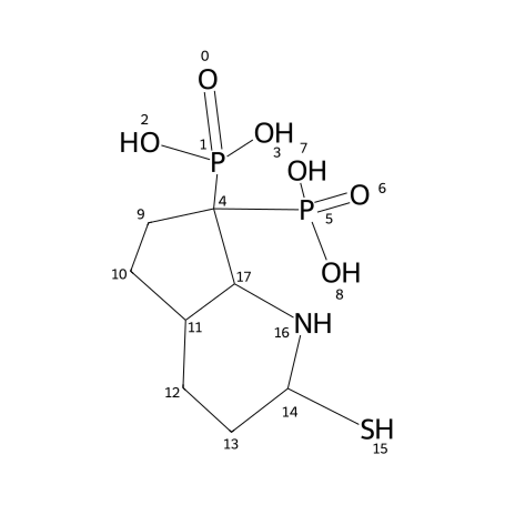 O=P(O)(O)C1(P(=O)(O)O)CCC2CCC(S)NC21